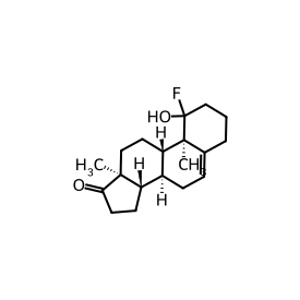 C[C@]12C(=CC[C@@H]3[C@@H]1CC[C@]1(C)C(=O)CC[C@@H]31)CCCC2(O)F